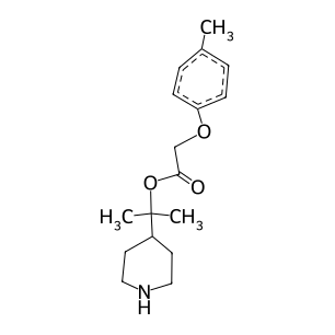 Cc1ccc(OCC(=O)OC(C)(C)C2CCNCC2)cc1